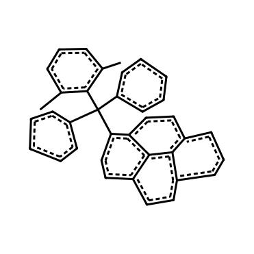 Cc1cccc(C)c1C(c1ccccc1)(c1ccccc1)c1ccc2ccc3cccc4ccc1c2c34